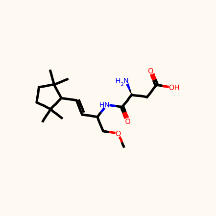 COCC(C=CC1C(C)(C)CCC1(C)C)NC(=O)[C@@H](N)CC(=O)O